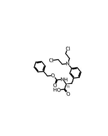 O=C(N[C@@H](Cc1cccc(N(CCCl)CCCl)c1)C(=O)O)OCc1ccccc1